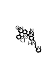 Cn1cncc1C(O)(c1ccc(CNCCc2ccccn2)cc1)c1ccc2c(c1)c(-c1cccc(Cl)c1)cc(=O)n2C